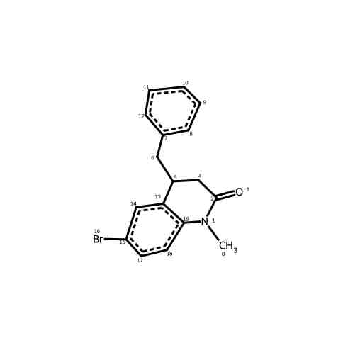 CN1C(=O)CC(Cc2ccccc2)c2cc(Br)ccc21